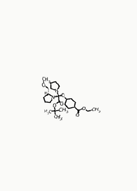 CCOC(=O)C1CCC(OC(C(=O)OC(C)(C)C)(N2CCCC2)N2CCC[C@@H]2COC)CC1